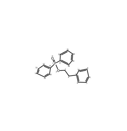 O=P(OCCc1ccccc1)(c1ccccc1)c1ccccc1